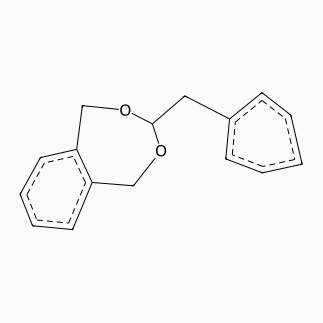 c1ccc(CC2OCc3ccccc3CO2)cc1